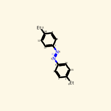 CCc1ccc(/N=N/c2ccc(CC)cc2)cc1